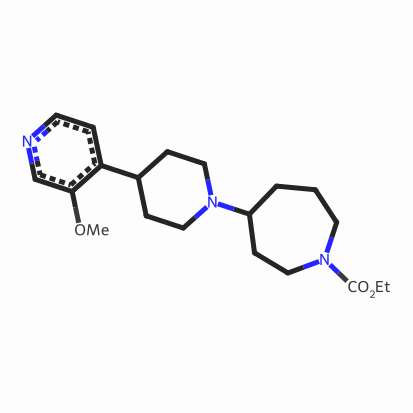 CCOC(=O)N1CCCC(N2CCC(c3ccncc3OC)CC2)CC1